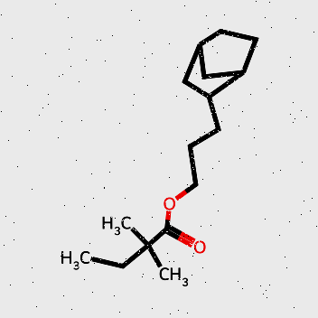 CCC(C)(C)C(=O)OCCCC1CC2CCC1C2